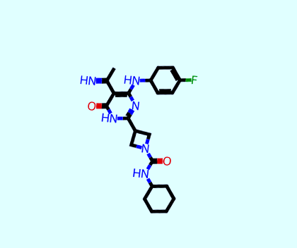 CC(=N)c1c(NC2C=CC(F)=CC2)nc(C2CN(C(=O)NC3CCCCC3)C2)[nH]c1=O